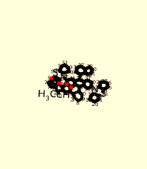 CC1(C)c2cc(C3=CCCC=C3c3c4cc(N5c6ccccc6Sc6ccccc65)ccc4c(-c4cccc5ccccc45)c4cc(N5c6ccccc6Sc6ccccc65)ccc34)ccc2C2C=CC=CC21